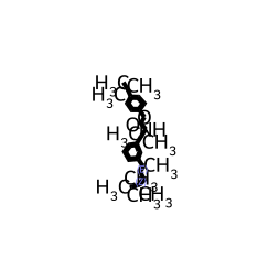 C/C(=C/C=C(\C)c1cccc(C(C)(C)NC(=O)Oc2ccc(C(C)(C)C)cc2)c1)C(C)(C)C